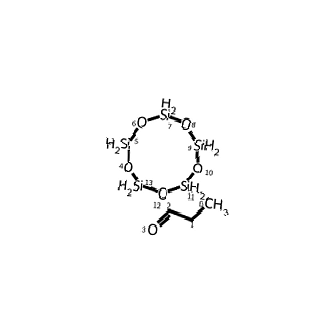 CCC=O.O1[SiH2]O[SiH2]O[SiH2]O[SiH2]O[SiH2]1